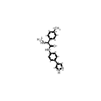 CNC(C(=O)Nc1ccc(-c2cn[nH]c2)cc1)c1ccc(C)cc1